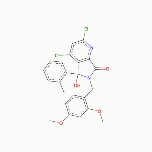 COc1ccc(CN2C(=O)c3nc(Cl)cc(Cl)c3C2(O)c2ccccc2C)c(OC)c1